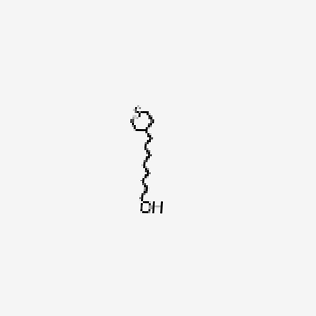 OCCCCCCCCC1CCSCC1